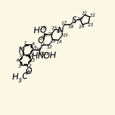 COc1ccc2nccc(C(CC[C@@H]3CCN(CCSC4CCCC4)C[C@@H]3C(=O)O)NO)c2c1